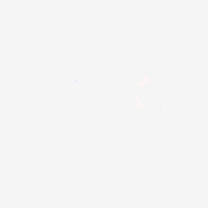 COC(=O)c1ccc2[nH]c3c(c2c1)C(C)(C)C1C=CC3C1